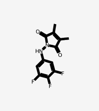 CC1=C(C)C(=O)N(Nc2cc(F)c(F)c(F)c2)C1=O